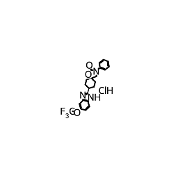 Cl.O=C1O[C@]2(CC[C@H](c3nc4cc(OC(F)(F)F)ccc4[nH]3)CC2)CN1c1ccccc1